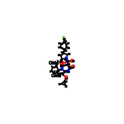 COc1cccc(OC)c1-n1c(COC2CC2)nc(=O)c(C(=O)N2CCC(c3ccc(F)cc3)C2)c1O